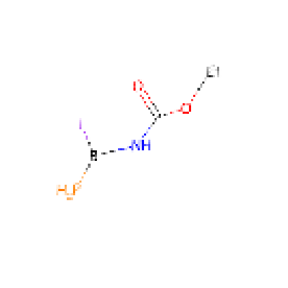 CCOC(=O)NB(P)I